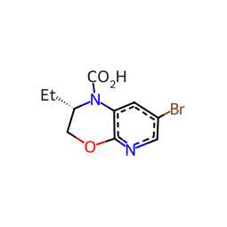 CC[C@H]1COc2ncc(Br)cc2N1C(=O)O